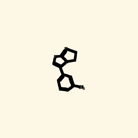 Cc1cccc(C2=CSC3=NCCN23)c1